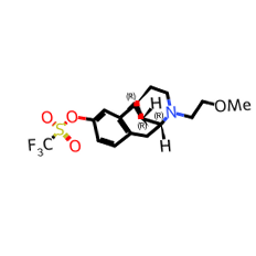 COCCN1CC[C@]23CCCC[C@H]2[C@H]1Cc1ccc(OS(=O)(=O)C(F)(F)F)cc13